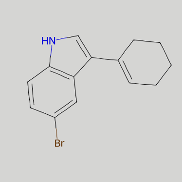 Brc1ccc2[nH]cc(C3=CCCCC3)c2c1